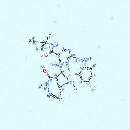 [2H]C([2H])([2H])NC(=O)c1cnc(Nc2ccc(F)cc2)nc1Nc1cn(C)c2ccn(C)c(=O)c12